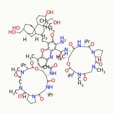 C[C@@]1(CO)[C@H](O)CC[C@@]2(C)[C@H]1CC[C@H]1C[C@@H]3C[C@@]12CC[C@]3(O)CO.Cc1c2oc3c(C)ccc(C(=O)N[C@@H]4C(=O)N[C@H](C(C)C)C(=O)N5CCC[C@H]5C(=O)N(C)CC(=O)N(C)[C@@H](C(C)C)C(=O)O[C@@H]4C)c3nc-2c(C(=O)N[C@@H]2C(=O)N[C@H](C(C)C)C(=O)N3CCC[C@H]3C(=O)N(C)CC(=O)N(C)[C@@H](C(C)C)C(=O)O[C@@H]2C)c(N)c1=O